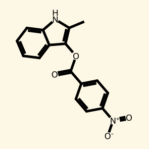 Cc1[nH]c2ccccc2c1OC(=O)c1ccc([N+](=O)[O-])cc1